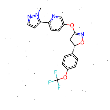 Cn1nccc1-c1ccc(OC2=NO[C@H](c3ccc(OC(F)(F)F)cc3)C2)cn1